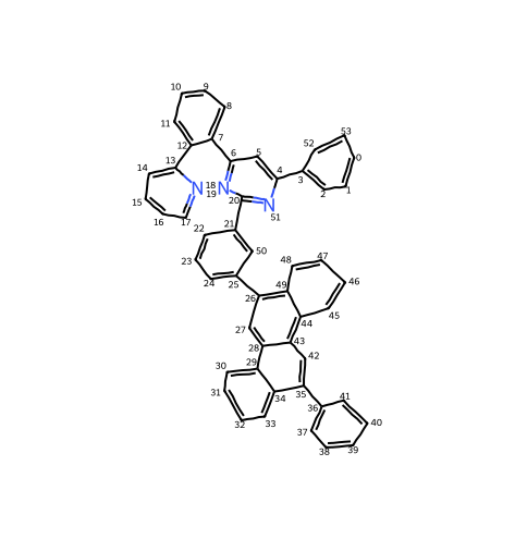 c1ccc(-c2cc(-c3ccccc3-c3ccccn3)nc(-c3cccc(-c4cc5c6ccccc6c(-c6ccccc6)cc5c5ccccc45)c3)n2)cc1